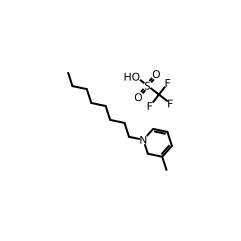 CCCCCCCCN1C=CC=C(C)C1.O=S(=O)(O)C(F)(F)F